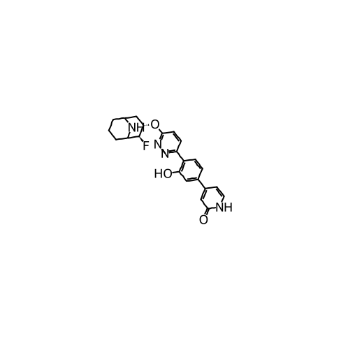 O=c1cc(-c2ccc(-c3ccc(O[C@H]4CC5CCCC(N5)[C@@H]4F)nn3)c(O)c2)cc[nH]1